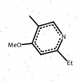 CCc1cc(OC)c(C)cn1